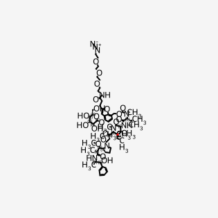 CC[C@H](C)[C@@H]([C@@H](CC(=O)N1CCC[C@H]1[C@H](OC)[C@@H](C)C(=O)N[C@H](C)[C@@H](O)c1ccccc1)OC)N(C)C(=O)[C@@H](NC(=O)[C@H](C(C)C)N(C)C(=O)OCc1ccc(O[C@@H]2O[C@H](CO)[C@H](O)[C@H](O)[C@H]2O)c2cc(CCC(=O)NCCOCCOCCOCCN=[N+]=[N-])oc12)C(C)C